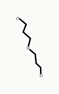 ClCCCOCCCCl